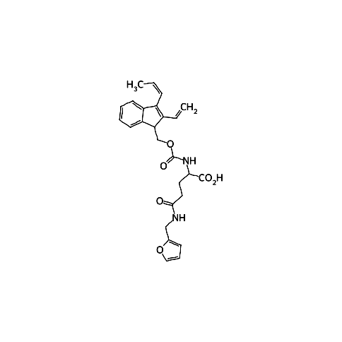 C=CC1=C(/C=C\C)c2ccccc2C1COC(=O)NC(CCC(=O)NCc1ccco1)C(=O)O